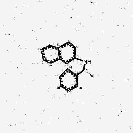 C[C@@H](Nc1ccc2ccccc2c1)c1ccccc1